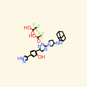 O=C(O)C(F)(F)F.O=C(O)C(F)(F)F.Oc1cc(-c2cn[nH]c2)ccc1-c1cnc(N2CCC(NC3C4CC5CC(C4)CC3C5)C2)nn1